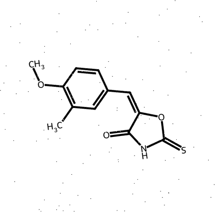 COc1ccc(C=C2OC(=S)NC2=O)cc1C